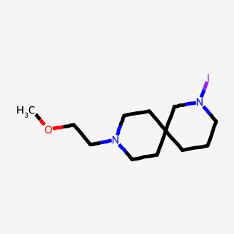 COCCN1CCC2(CCCN(I)C2)CC1